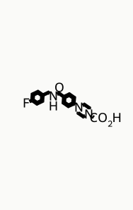 O=C(NCc1ccc(F)cc1)c1ccc(N2CCN(C(=O)O)CC2)cc1